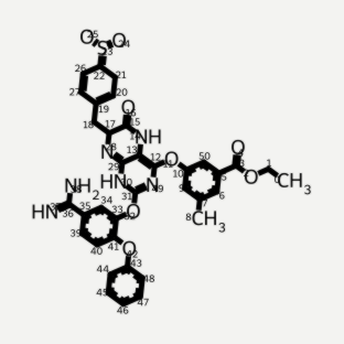 CCOC(=O)c1cc(C)cc(OC2=C3NC(=O)C(CC4=CCC(=S(=O)=O)C=C4)N=C3NC(Oc3cc(C(=N)N)ccc3Oc3ccccc3)=N2)c1